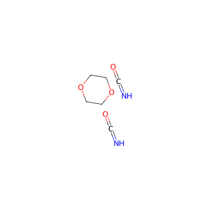 C1COCCO1.N=C=O.N=C=O